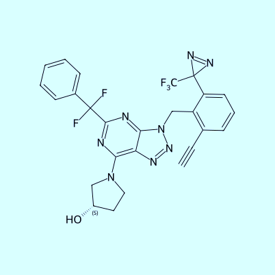 C#Cc1cccc(C2(C(F)(F)F)N=N2)c1Cn1nnc2c(N3CC[C@H](O)C3)nc(C(F)(F)c3ccccc3)nc21